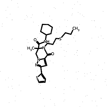 CCCSCCCN1C(=O)c2cc(-c3cccs3)nn2CC1(C)C(=O)NC1CCCCC1